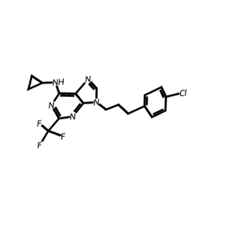 FC(F)(F)c1nc(NC2CC2)c2ncn(CCCc3ccc(Cl)cc3)c2n1